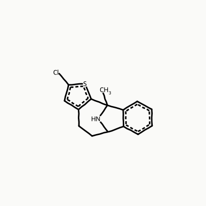 CC12NC(CCc3cc(Cl)sc31)c1ccccc12